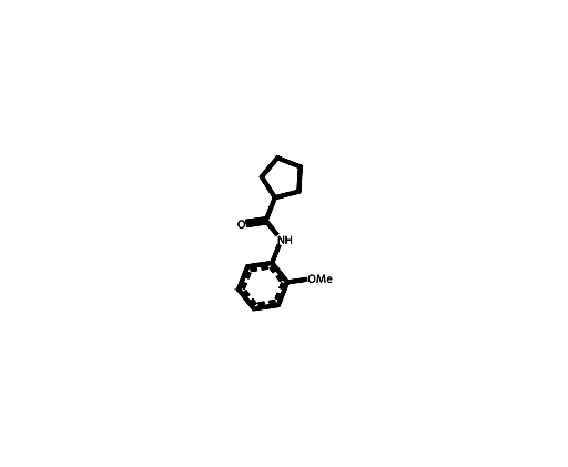 COc1cc[c]cc1NC(=O)C1CCCC1